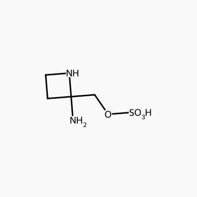 NC1(COS(=O)(=O)O)CCN1